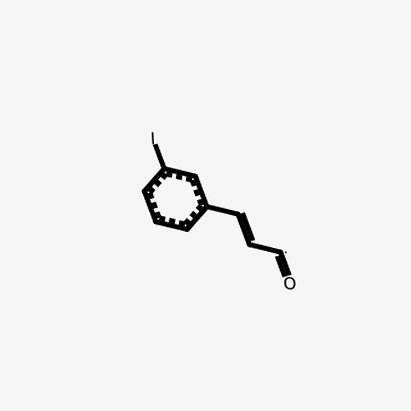 O=[C]/C=C/c1cccc(I)c1